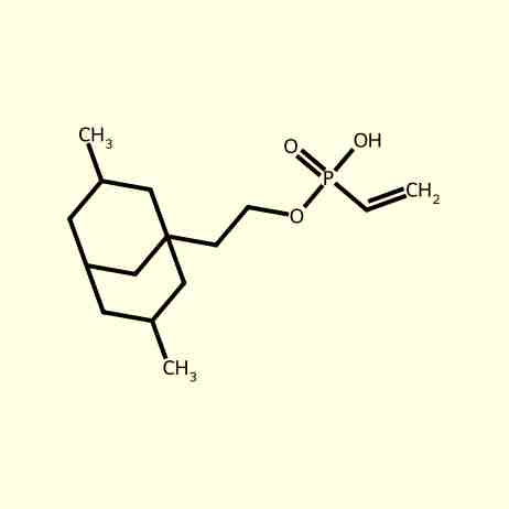 C=CP(=O)(O)OCCC12CC(C)CC(CC(C)C1)C2